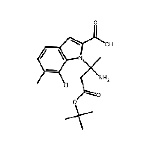 Cc1ccc2cc(C(=O)O)n(C(C)(N)CC(=O)OC(C)(C)C)c2c1Cl